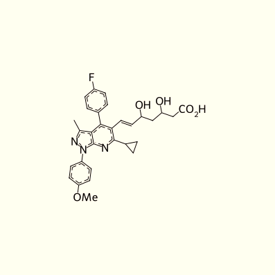 COc1ccc(-n2nc(C)c3c(-c4ccc(F)cc4)c(/C=C/C(O)CC(O)CC(=O)O)c(C4CC4)nc32)cc1